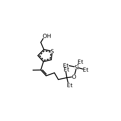 CCC(CC)(CC/C=C(/C)c1csc(CO)c1)O[Si](CC)(CC)CC